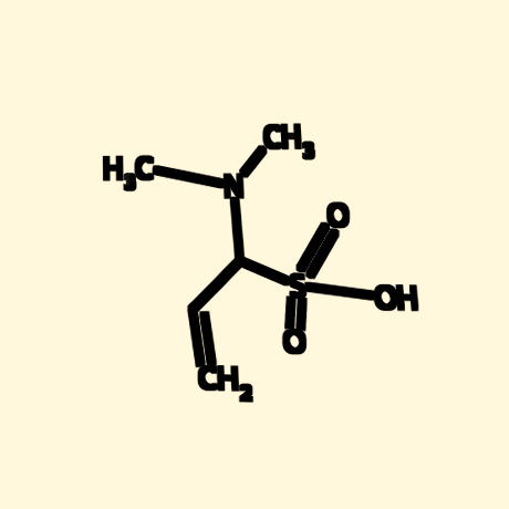 C=CC(N(C)C)S(=O)(=O)O